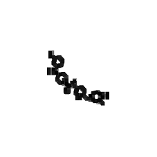 C[C@H]1CN(Cc2ccc(N(C)C(=O)N3CCC(Nc4cccc(F)c4)CC3)cn2)CCN1